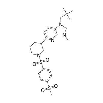 CN1CN(CC(C)(C)C)c2ccc(C3CCCN(S(=O)(=O)c4ccc(S(C)(=O)=O)cc4)C3)nc21